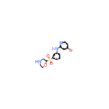 O=S(=O)(c1cccc(Nc2cc(Br)ccn2)c1)C1CNCCO1